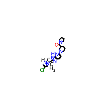 CC(C)(c1nc2ccc(N3CCCC(C(=O)N4CCCC4)C3)nc2[nH]1)n1cc(Cl)cn1